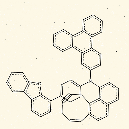 C1#CCc2c(ccc3cccc(N(C4=CC=C(c5cccc6c5oc5ccccc56)CC4)c4ccc5c6ccccc6c6ccccc6c5c4)c23)/C=C\C1